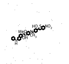 COc1cc(N=Nc2ccc(C=Cc3ccc([N+](=O)[O-])cc3S(=O)(=O)O)cc2)c(C)cc1N=Nc1ccc2cc(Nc3ccccc3)ccc2c1O